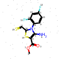 COC(=O)C1=C(N)N(c2ccc(F)cc2F)C(C=S)S1